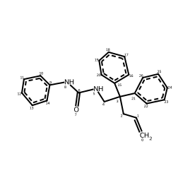 C=CCC(CNC(=O)Nc1ccccc1)(c1ccccc1)c1ccccc1